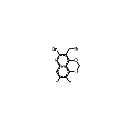 Fc1cc2nc(Br)c(CBr)c3c2c(c1F)OCO3